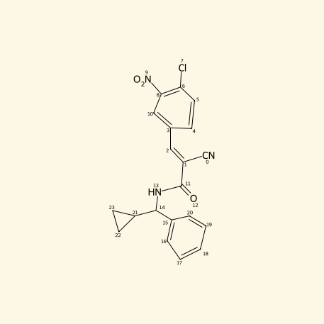 N#C/C(=C\c1ccc(Cl)c([N+](=O)[O-])c1)C(=O)NC(c1ccccc1)C1CC1